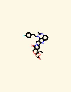 CC[C@@]1(OC(C)=O)C(=O)OCc2c1cc1n(c2=O)Cc2c-1nc1cccc3c1c2N(CCc1ccc(F)cc1)C(C)=N3